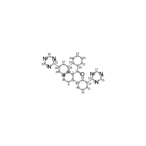 O=C(c1ccccc1-c1cccc(-c2ncncn2)c1)c1ccccc1-c1cccc(-c2ncncn2)c1